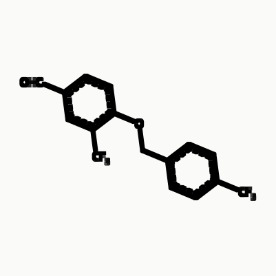 O=Cc1ccc(OCc2ccc(C(F)(F)F)cc2)c(C(F)(F)F)c1